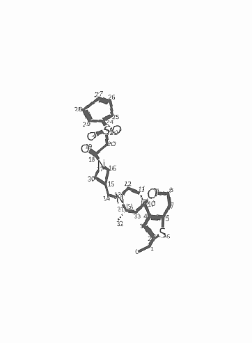 CCc1cc2c(s1)CCO[C@@]21CCN(CC2CN(C(=O)CS(=O)(=O)c3ccccc3)C2)[C@@H](C)C1